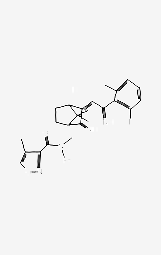 CCN(C[C@@]12CC[C@@H](/C(=C/C(=N)c3c(F)cccc3F)C1=N)C2(C)C)C(=O)c1nocc1C